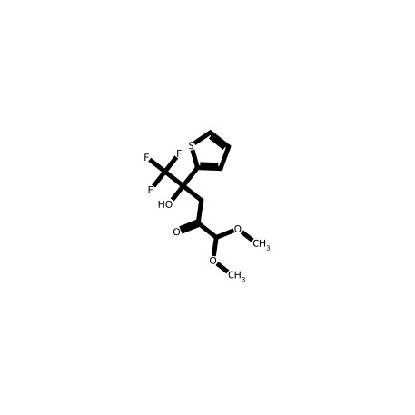 COC(OC)C(=O)CC(O)(c1cccs1)C(F)(F)F